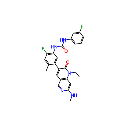 CCn1c(=O)c(-c2cc(NC(=O)Nc3cccc(F)c3)c(F)cc2C)cc2cnc(NC)cc21